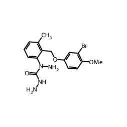 COc1ccc(OCc2c(C)cccc2N(N)C(=O)NN)cc1Br